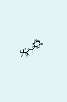 CC(C)(C)C(=O)CCc1cnccn1